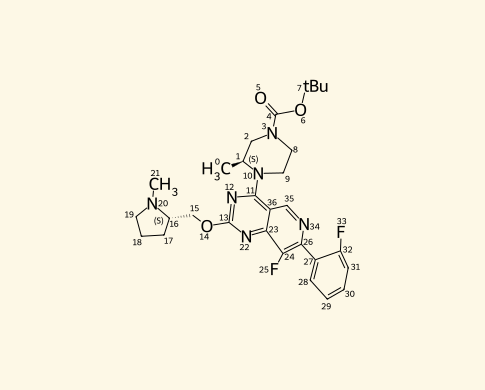 C[C@H]1CN(C(=O)OC(C)(C)C)CCN1c1nc(OC[C@@H]2CCCN2C)nc2c(F)c(-c3ccccc3F)ncc12